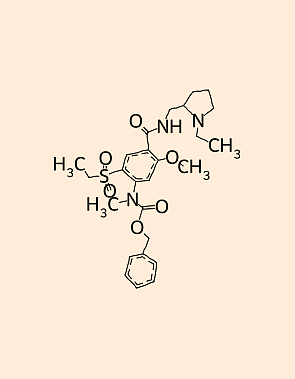 CCN1CCCC1CNC(=O)c1cc(S(=O)(=O)CC)c(N(C)C(=O)OCc2ccccc2)cc1OC